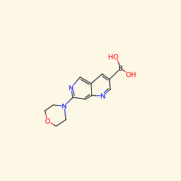 OB(O)c1cnc2cc(N3CCOCC3)ncc2c1